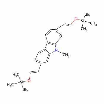 Cn1c2cc(C=CO[Si](C)(C)C(C)(C)C)ccc2c2ccc(C=CO[Si](C)(C)C(C)(C)C)cc21